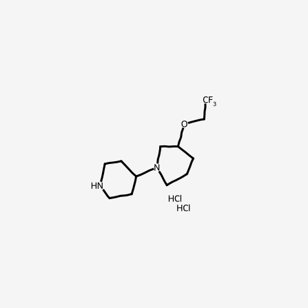 Cl.Cl.FC(F)(F)COC1CCCN(C2CCNCC2)C1